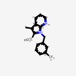 Cc1c(C(=O)O)n(Cc2cccc(C(F)(F)F)c2)c2ncccc12